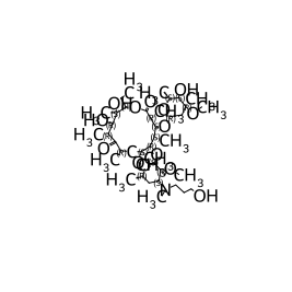 CC[C@H]1OC(=O)[C@H](C)[C@@H](O[C@H]2C[C@@](C)(OC)[C@@H](O)[C@H](C)O2)[C@H](C)[C@@H](O[C@@H]2O[C@H](C)C[C@H](N(C)CCCO)[C@H]2OC)[C@@](C)(OC)C[C@@H](C)C(=O)[C@H](C)[C@@H](O)[C@]1(C)O